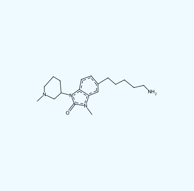 CN1CCCC(n2c(=O)n(C)c3cc(CCCCCN)ccc32)C1